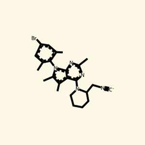 [C-]#[N+]CC1CCCCN1c1nc(C)nc2c1c(C)c(C)n2-c1c(C)cc(Br)cc1C